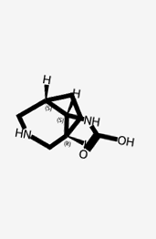 O=C(O)N[C@@H]1[C@@H]2CC[C@H]1CNC2